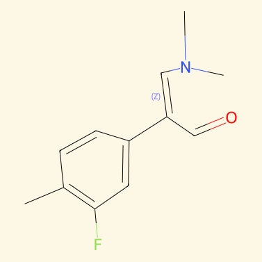 Cc1ccc(/C(C=O)=C/N(C)C)cc1F